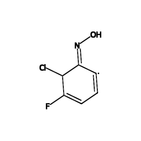 ON=C1[C]=CC=C(F)C1Cl